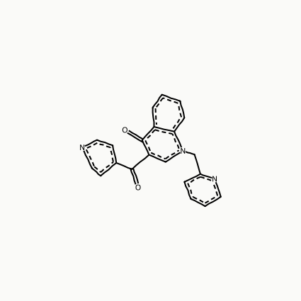 O=C(c1ccncc1)c1cn(Cc2ccccn2)c2ccccc2c1=O